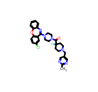 Cc1ncc(CN2CCC(F)(C(=O)N3CCN(C4=Nc5ccccc5Oc5ccc(Cl)cc54)CC3)CC2)cn1